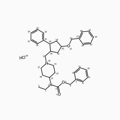 CCN(C(=O)OCc1ccccc1)C1CCN(CC2CC(OCc3ccccc3)CC2c2ccccc2)CC1.Cl